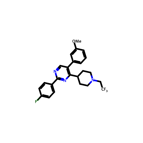 COc1cccc(-c2cnc(-c3ccc(F)cc3)nc2C2CCN(CC(F)(F)F)CC2)c1